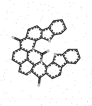 O=c1c2ccc3c4ccccc4oc3c2n2c(=O)n3c4c(ccc5c6ccccc6oc54)c(=O)c4ccc5ccc1c2c5c43